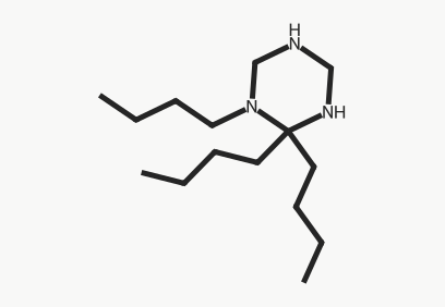 CCCCN1CNCNC1(CCCC)CCCC